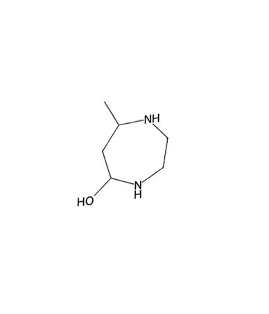 CC1CC(O)NCCN1